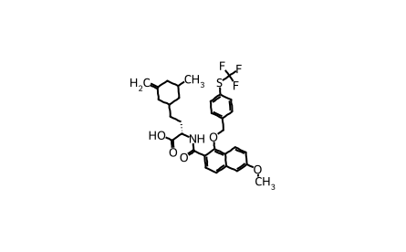 C=C1CC(C)CC(CC[C@H](NC(=O)c2ccc3cc(OC)ccc3c2OCc2ccc(SC(F)(F)F)cc2)C(=O)O)C1